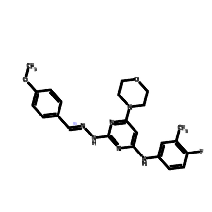 Fc1ccc(Nc2cc(N3CCOCC3)nc(N/N=C/c3ccc(OC(F)(F)F)cc3)n2)cc1C(F)(F)F